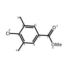 COC(=O)c1cc(C)c(Cl)c(C)c1